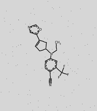 CCN(c1ccc(C#N)c(C(F)(F)F)c1)C1CC=C(c2cnco2)C1